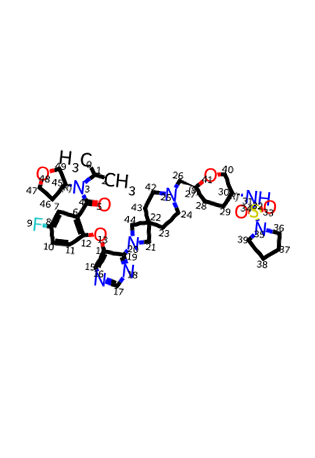 CC(C)N(C(=O)c1cc(F)ccc1Oc1cncnc1N1CC2(CCN(C[C@@H]3CC[C@@H](NS(=O)(=O)N4CCCC4)CO3)CC2)C1)[C@@H]1CCOC1